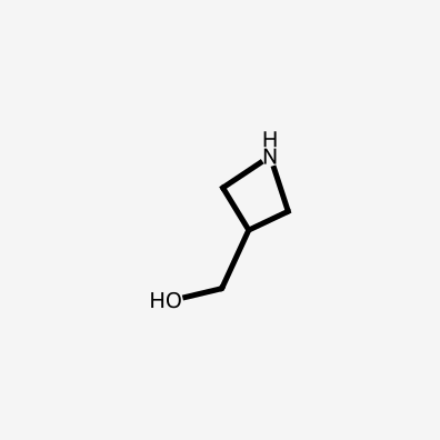 OCC1CNC1